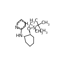 CC(C)(C)[Si](C)(C)O[C@H]1CCCC[C@@H]1Nc1ccccn1